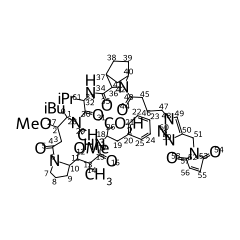 CCC(C)C(C(CC(=O)N1CCCC1C(OC)C(C)C(=O)NC(Cc1ccccc1)C(=O)O)OC)N(C)C(=O)C(NC(=O)C1C2CCC(C2)N1C(=O)CCCn1cc(CN2C(=O)C=CC2=O)nn1)C(C)C